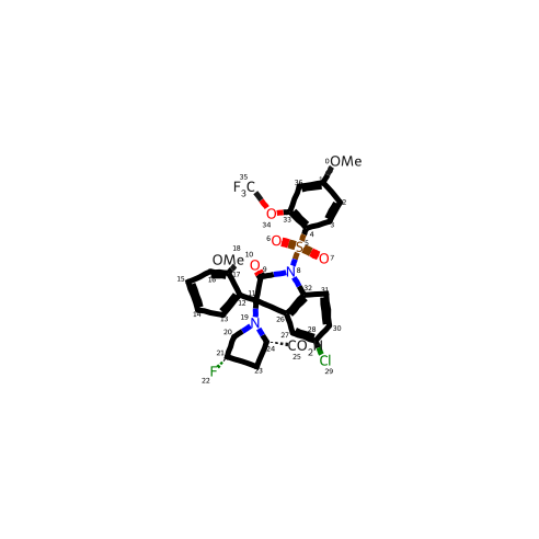 COc1ccc(S(=O)(=O)N2C(=O)C(c3ccccc3OC)(N3C[C@@H](F)C[C@H]3C(=O)O)c3cc(Cl)ccc32)c(OC(F)(F)F)c1